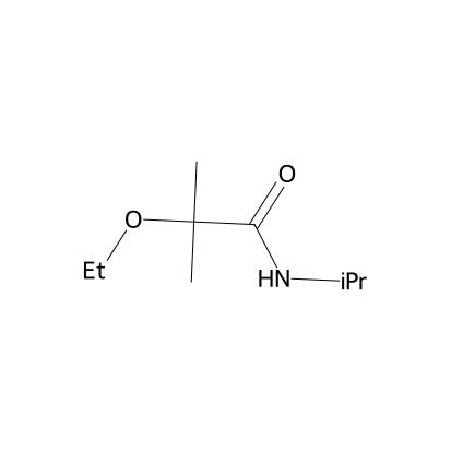 CCOC(C)(C)C(=O)NC(C)C